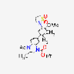 C=C(OC)/C(=C\C(=C)c1ccc2c(c1)N(C(=O)OC(C)C)CC(C)N2C(C)=O)N1CCCS1(=O)=O